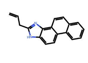 C=CCc1nc2c(ccc3c4ccccc4ccc32)[nH]1